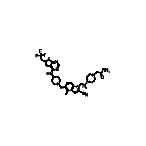 Cc1c(CN2CCC(Nc3ncnc4sc(CC(F)(F)F)cc34)CC2)ccc2c1cc(C#N)n2C[C@H](C)N1CCN(CC(N)=O)CC1